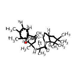 [2H]c1c([2H])c(C(C)C[C@](C)(N[C@@](C)(CC)C(=O)N2[C@H](C=O)C[C@@H]3CC(C)(C)C(C)(C)[C@@H]32)C(=O)OCC(C)C)c([2H])c(C)c1C